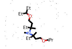 CCC(CC)OCCC(C)(CC)N(C)C(C)(CC)CCOC(C)C